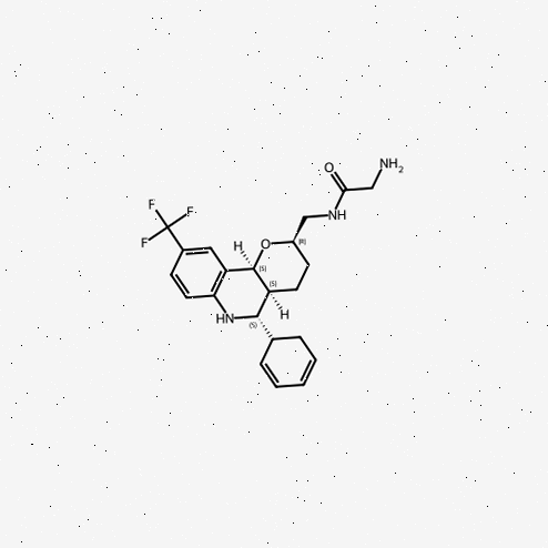 NCC(=O)NC[C@H]1CC[C@@H]2[C@H](O1)c1cc(C(F)(F)F)ccc1N[C@H]2C1C=CC=CC1